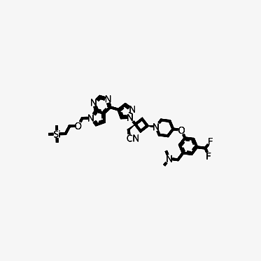 CN(C)Cc1cc(OC2CCN([C@H]3C[C@](CC#N)(n4cc(-c5ncnc6c5ccn6COCC[Si](C)(C)C)cn4)C3)CC2)cc(C(F)F)c1